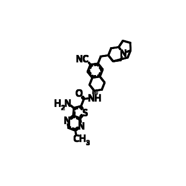 Cc1cnc2c(N)c(C(=O)N[C@H]3CCc4cc(CC5CC6CCC7CC5CN67)c(C#N)cc4C3)sc2n1